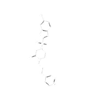 O=C1CN(S(=O)(=O)c2cc3ccc(Cl)cc3s2)CCN1CCCc1ccncc1